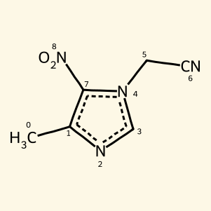 Cc1ncn(CC#N)c1[N+](=O)[O-]